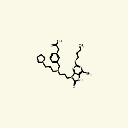 CCCCOc1nc(N)c2[nH]c(=O)n(CCCN(CCCN3CCCC3)Cc3cccc(CC(=O)O)c3)c2n1